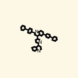 c1ccc(-c2ccc(-c3ccc4nc(-c5ccc(-c6ccccc6)cc5)cc(-c5ccc(-c6ccnc7ccccc67)nc5)c4c3)cc2)cc1